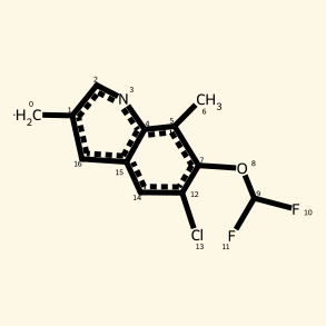 [CH2]c1cnc2c(C)c(OC(F)F)c(Cl)cc2c1